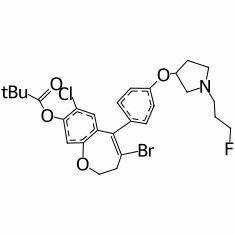 CC(C)(C)C(=O)Oc1cc2c(cc1Cl)C(c1ccc(OC3CCN(CCCF)C3)cc1)=C(Br)CCO2